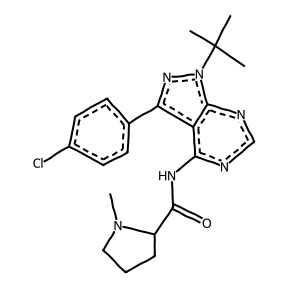 CN1CCCC1C(=O)Nc1ncnc2c1c(-c1ccc(Cl)cc1)nn2C(C)(C)C